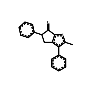 Cc1sc2c(c1-c1ccccc1)CC(c1ccccc1)C2=O